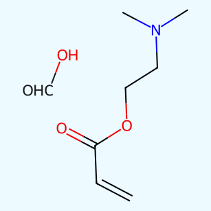 C=CC(=O)OCCN(C)C.O=CO